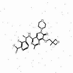 Cc1nc(N[C@H](C)c2cccc(C(F)F)c2F)c2cn(N3CCOCC3)c(=O)c(OCC3(C)COC3)c2n1